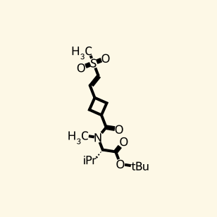 CC(C)[C@@H](C(=O)OC(C)(C)C)N(C)C(=O)C1CC(/C=C/S(C)(=O)=O)C1